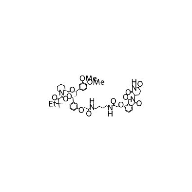 CCC(C)(C)C(=O)C(=O)N1CCCC[C@H]1C(=O)O[C@H](CCc1ccc(OC)c(OC)c1)c1cccc(OCC(=O)NCCCCNC(=O)COc2cccc3c2C(=O)N(C2CCC(=O)NC2=O)C3=O)c1